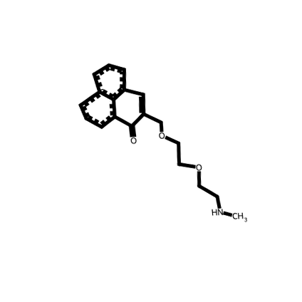 CNCCOCCOCC1=Cc2cccc3cccc(c23)C1=O